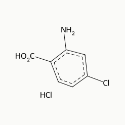 Cl.Nc1cc(Cl)ccc1C(=O)O